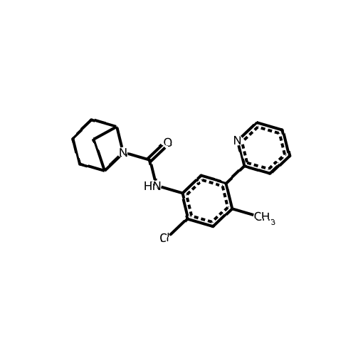 Cc1cc(Cl)c(NC(=O)N2C3CCCC2C3)cc1-c1ccccn1